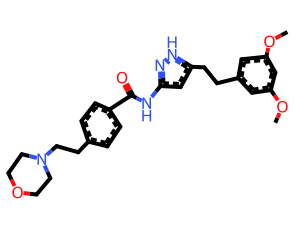 COc1cc(CCc2cc(NC(=O)c3ccc(CCN4CCOCC4)cc3)n[nH]2)cc(OC)c1